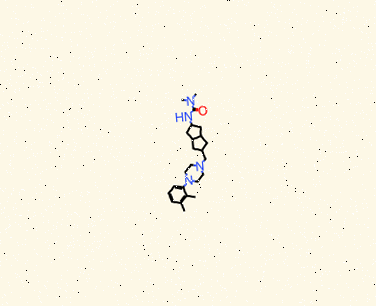 Cc1cccc(N2CCN(CC3CC4CC(NC(=O)N(C)C)CC4C3)CC2)c1C